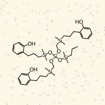 CCC[Si](C)(C)O[Si](OC[Si](C)(C)CCCc1ccccc1O)(OC[Si](C)(C)CCCc1ccccc1O)O[Si](C)(C)CCCc1ccccc1O